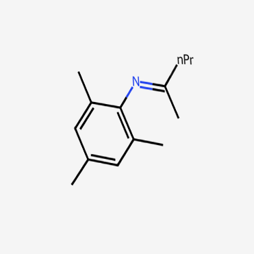 CCCC(C)=Nc1c(C)cc(C)cc1C